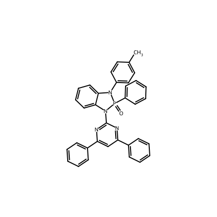 Cc1ccc(N2c3ccccc3N(c3nc(-c4ccccc4)cc(-c4ccccc4)n3)P2(=O)c2ccccc2)cc1